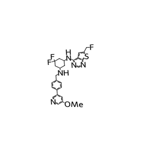 COc1cncc(-c2ccc(CNC3CC(Nc4ncnc5sc(CF)cc45)CC(F)(F)C3)cc2)c1